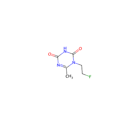 Cc1nc(=O)[nH]c(=O)n1CCF